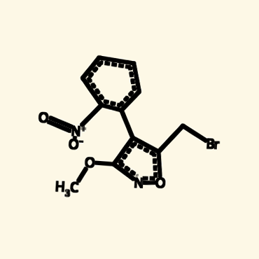 COc1noc(CBr)c1-c1ccccc1[N+](=O)[O-]